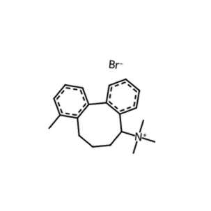 Cc1cccc2c1CCCC([N+](C)(C)C)c1ccccc1-2.[Br-]